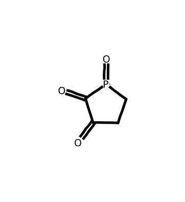 O=C1CC[P](=O)C1=O